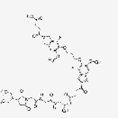 CCC(CC)C1CC(=O)N(CC(=O)NCC(=O)NC[C@H](C)OC(=O)CCC(=O)c2cc3c(F)c(OCCCOc4c(OC)cc5c(c4F)CN(C(=O)CCC(=O)O)C5)c(OC)cc3s2)C1=O